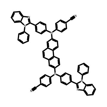 N#Cc1ccc(N(c2ccc(-c3nc4ccccc4n3-c3ccccc3)cc2)c2ccc3c(ccc4cc(N(c5ccc(C#N)cc5)c5ccc(-c6nc7ccccc7n6-c6ccccc6)cc5)ccc43)c2)cc1